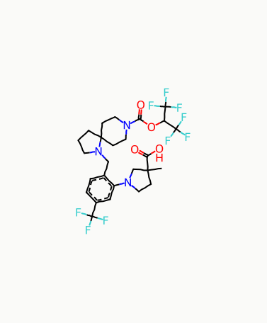 CC1(C(=O)O)CCN(c2cc(C(F)(F)F)ccc2CN2CCCC23CCN(C(=O)OC(C(F)(F)F)C(F)(F)F)CC3)C1